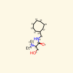 CCN(CC)C(CO)C(=O)NCC1CCCCCCC1